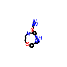 CN1C/C=C/CCOc2cccc(c2)-c2ccnc(n2)Nc2ccc(OCCn3cncn3)c(c2)C1